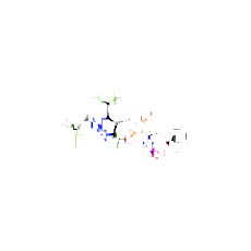 CCC1(C)CC(S(=O)(=O)Cc2c(Cl)nn(CC(F)F)c2C(F)F)=NO1